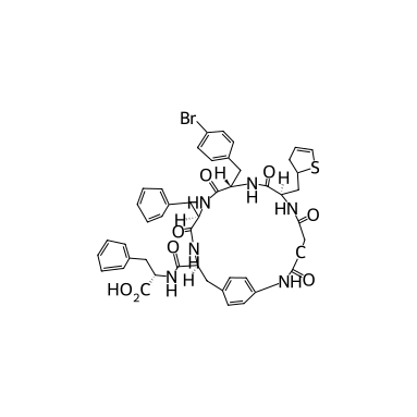 O=C1CCC(=O)N[C@H](CC2CC=CS2)C(=O)N[C@@H](Cc2ccc(Br)cc2)C(=O)N[C@H](Cc2ccccc2)C(=O)N[C@H](C(=O)N[C@@H](Cc2ccccc2)C(=O)O)Cc2ccc(cc2)N1